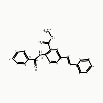 COC(=O)c1cc(C=Cc2ccccc2)ccc1NC(=O)c1ccccc1